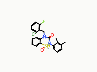 Cc1cccc(N2C(=O)N(Cc3c(F)cccc3Cl)c3ccccc3[SH]2(C)=O)c1C